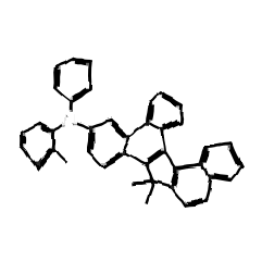 Cc1ccccc1N(c1ccccc1)c1ccc2c3c(c4ccccc4c2c1)-c1c(ccc2ccccc12)C3(C)C